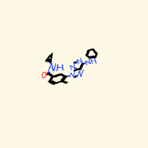 Cc1ccc(C(=O)NC2CC2)cc1-n1cnc2c(Nc3ccccc3)ncnc21